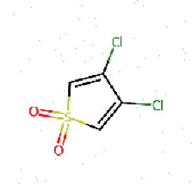 O=S1(=O)C=C(Cl)C(Cl)=C1